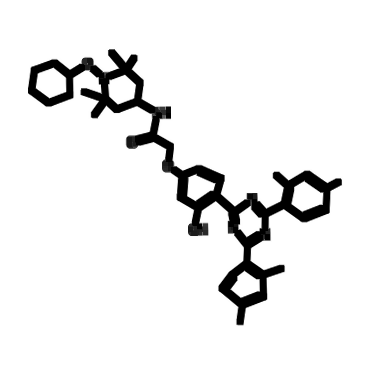 Cc1ccc(-c2nc(-c3ccc(C)cc3C)nc(-c3ccc(OCC(=O)NC4CC(C)(C)N(OC5CCCCC5)C(C)(C)C4)cc3O)n2)c(C)c1